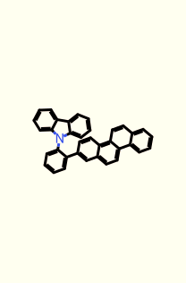 c1ccc(-n2c3ccccc3c3ccccc32)c(-c2ccc3c(ccc4c5ccccc5ccc34)c2)c1